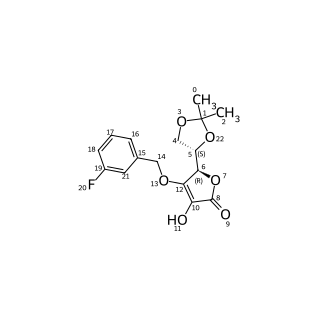 CC1(C)OC[C@@H]([C@H]2OC(=O)C(O)=C2OCc2cccc(F)c2)O1